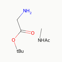 CC(C)(C)OC(=O)CN.CNC(C)=O